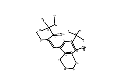 CCC(=Cc1cc(C(C)(C)C)c(O)c2c1CCCC2)C(=O)C(C)(F)CC